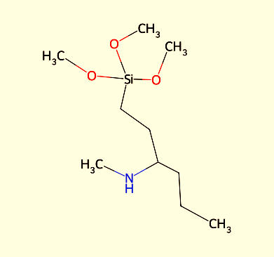 CCCC(CC[Si](OC)(OC)OC)NC